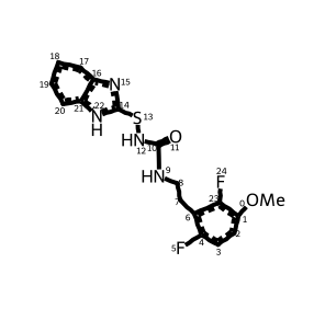 COc1ccc(F)c(CCNC(=O)NSc2nc3ccccc3[nH]2)c1F